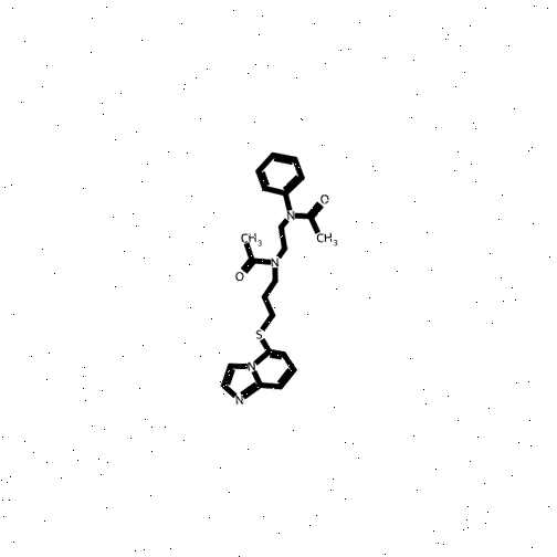 CC(=O)N(CCCSc1cccc2nccn12)CCN(C(C)=O)c1ccccc1